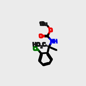 CC(C)(C)OC(=O)N[C@](C)(C(=O)O)c1ccccc1Cl